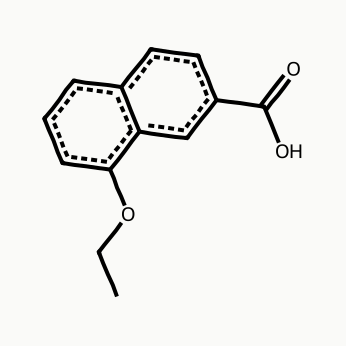 CCOc1cccc2ccc(C(=O)O)cc12